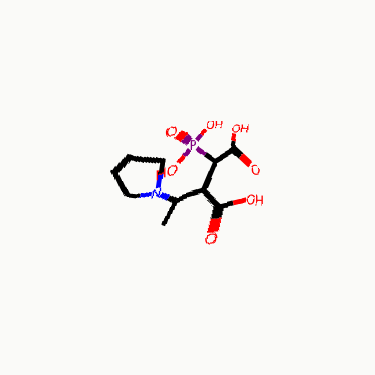 CC(C(C(=O)O)C(C(=O)O)P(=O)(O)O)N1CCCC1